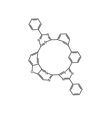 c1ccc(-c2nc3nc(n2)c2ccc4oc5cnc(nc5c4c2)c2nc(-c4ccccc4)nc(n2)c2cccc(c2)c2cccc3c2)cc1